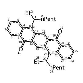 CCCCCC(CC)n1c2ccccc2c(=O)c2cc3c(cc21)c(=O)c1ccccc1n3C(CC)CCCCC